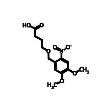 COc1cc(COCCCC(=O)O)c([N+](=O)[O-])cc1OC